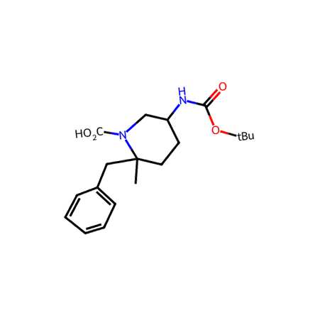 CC(C)(C)OC(=O)NC1CCC(C)(Cc2ccccc2)N(C(=O)O)C1